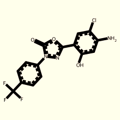 Nc1cc(O)c(-c2nn(-c3ccc(C(F)(F)F)cc3)c(=O)o2)cc1Cl